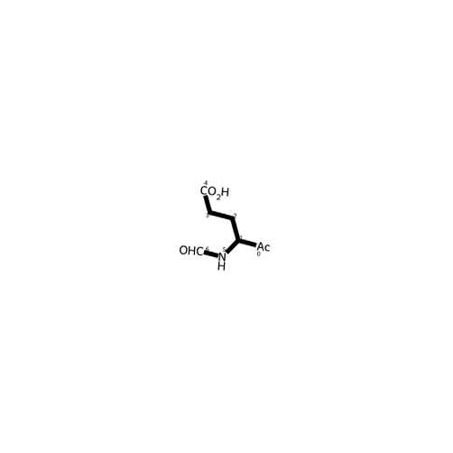 CC(=O)C(CCC(=O)O)NC=O